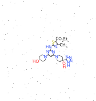 CCOC(=O)c1sc(Nc2nc(N3CCC(O)CC3)cc(N3CCC(O)(c4nnn[nH]4)CC3)n2)nc1C